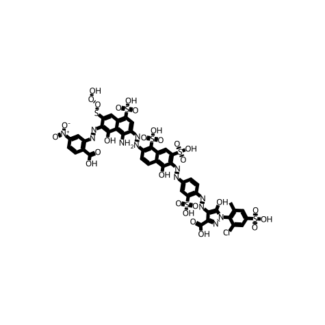 Cc1cc(S(=O)(=O)O)cc(Cl)c1-n1nc(C(=O)O)c(N=Nc2ccc(N=Nc3c(S(=O)(=O)O)cc4c(S(=O)(=O)O)c(N=Nc5cc(S(=O)(=O)O)c6cc(SOOO)c(N=Nc7cc([N+](=O)[O-])ccc7C(=O)O)c(O)c6c5N)ccc4c3O)cc2S(=O)(=O)O)c1O